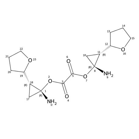 N[C@@]1(OC(=O)C(=O)O[C@]2(N)C[C@@H]2C2CCCO2)C[C@@H]1C1CCCO1